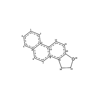 c1ccc2c(c1)ccc1c3c(ccc12)OCC3